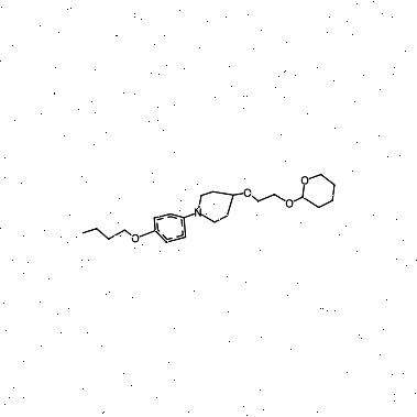 CCCCOc1ccc(N2CCC(OCCOC3CCCCO3)CC2)cc1